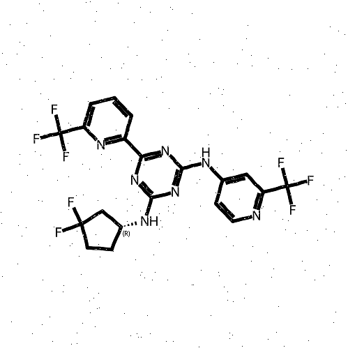 FC1(F)CC[C@@H](Nc2nc(Nc3ccnc(C(F)(F)F)c3)nc(-c3cccc(C(F)(F)F)n3)n2)C1